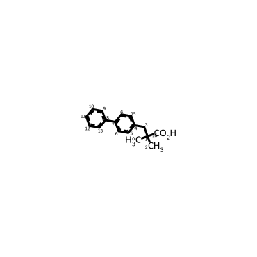 CC(C)(Cc1ccc(-c2ccccc2)cc1)C(=O)O